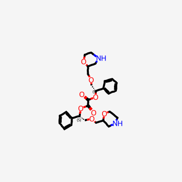 O=C(O[C@H](COCC1CNCCO1)c1ccccc1)C(=O)O[C@H](COCC1CNCCO1)c1ccccc1